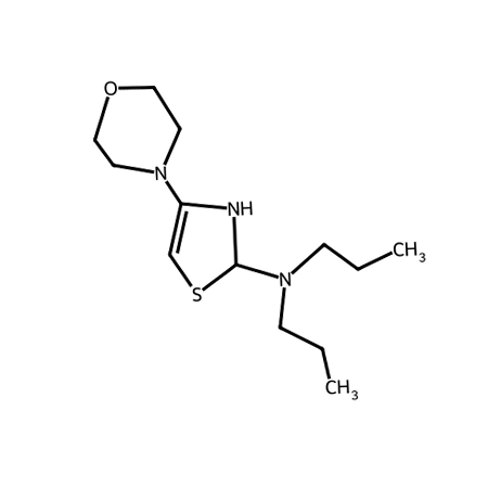 CCCN(CCC)C1NC(N2CCOCC2)=CS1